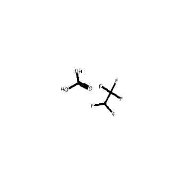 FC(F)C(F)(F)F.O=C(O)O